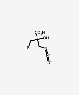 [N-]=[N+]=NC[C@](O)(CBr)C(=O)O